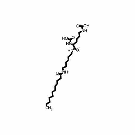 CCCCCCCCCCCC(=O)NCCCCCCNC(=O)C(CCCCNC(=O)O)NC(=O)O